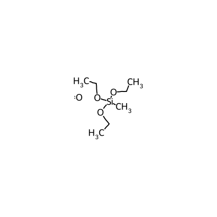 CCO[Si](C)(OCC)OCC.[O]